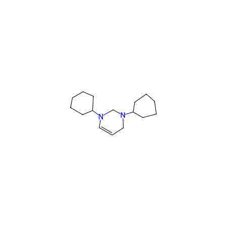 C1=CN(C2CCCCC2)CN(C2CCCCC2)C1